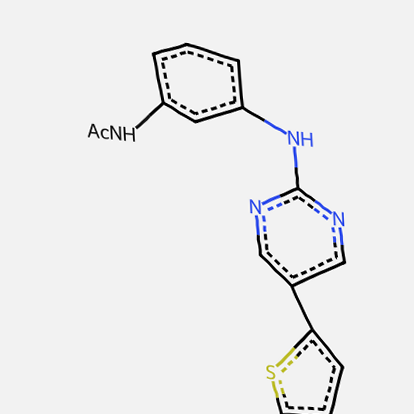 CC(=O)Nc1cccc(Nc2ncc(-c3cccs3)cn2)c1